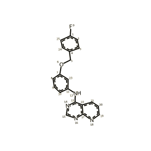 Fc1ccc(COc2cccc(Nc3ncnc4ncccc34)c2)cc1